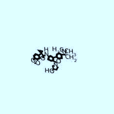 C=C(c1ccc(-c2cc(NC(=O)C3(c4ccc5c(c4)OCO5)CC3)ccc2C(=O)N2CC[C@@H](O)C2)cc1)N(C)C